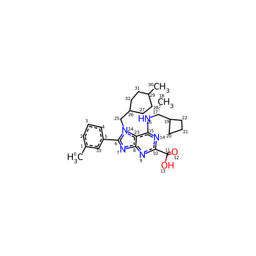 Cc1cccc(-c2nc3nc(C(=O)O)nc(N[C@H](C)C4CCC4)c3n2CC2CCC(C)CC2)c1